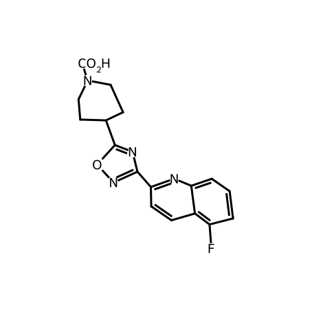 O=C(O)N1CCC(c2nc(-c3ccc4c(F)cccc4n3)no2)CC1